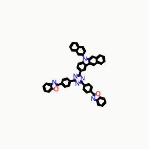 c1ccc2cc(-n3c4ccc(-c5nc(-c6ccc(-c7nc8ccccc8o7)cc6)nc(-c6ccc(-c7nc8ccccc8o7)cc6)n5)cc4c4cc5ccccc5cc43)ccc2c1